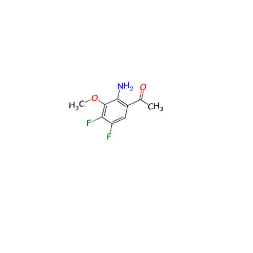 COc1c(N)c(C(C)=O)cc(F)c1F